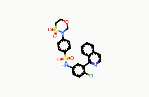 O=S(=O)(Nc1ccc(Cl)c(-c2nccc3ccccc23)c1)c1ccc(N2COCCS2(=O)=O)cc1